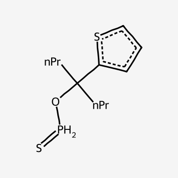 CCCC(CCC)(O[PH2]=S)c1cccs1